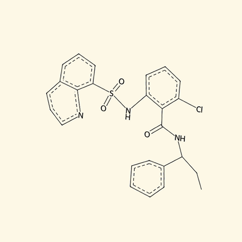 CCC(NC(=O)c1c(Cl)cccc1NS(=O)(=O)c1cccc2cccnc12)c1ccccc1